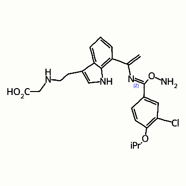 C=C(/N=C(\ON)c1ccc(OC(C)C)c(Cl)c1)c1cccc2c(CCNCC(=O)O)c[nH]c12